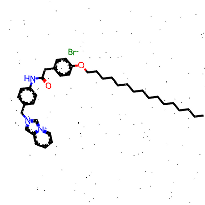 CCCCCCCCCCCCCCCCOc1ccc(CC(=O)Nc2ccc(Cn3cc4cccc[n+]4c3)cc2)cc1.[Br-]